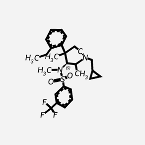 CCc1ccccc1C1(C)CCN(CC2CC2)C(C)[C@H]1N(C)S(=O)(=O)c1cccc(C(F)(F)F)c1